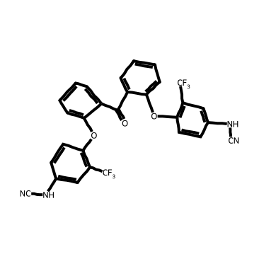 N#CNc1ccc(Oc2ccccc2C(=O)c2ccccc2Oc2ccc(NC#N)cc2C(F)(F)F)c(C(F)(F)F)c1